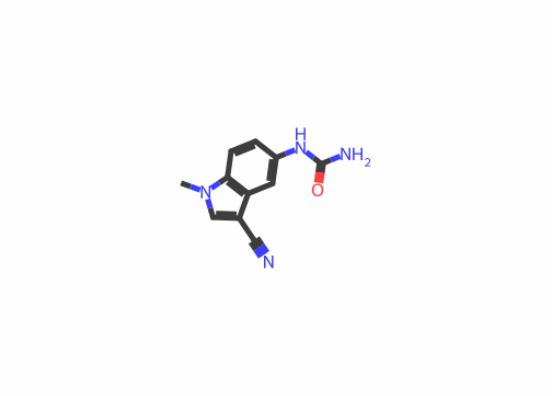 Cn1cc(C#N)c2cc(NC(N)=O)ccc21